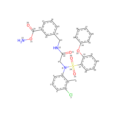 Cc1c(Cl)cccc1N(CC(=O)NCc1cccc(C(=O)ON)c1)S(=O)(=O)c1ccccc1Oc1ccccc1